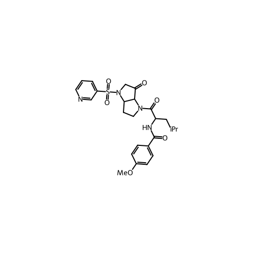 COc1ccc(C(=O)NC(CC(C)C)C(=O)N2CCC3C2C(=O)CN3S(=O)(=O)c2cccnc2)cc1